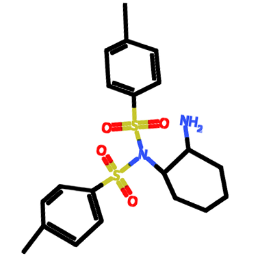 Cc1ccc(S(=O)(=O)N(C2CCCCC2N)S(=O)(=O)c2ccc(C)cc2)cc1